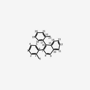 Cc1ccccc1-c1ccc2ccccc2c1-c1ccccc1C